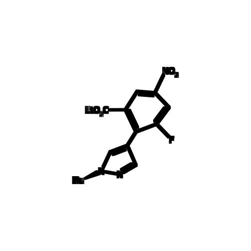 CCOC(=O)c1cc([N+](=O)[O-])cc(F)c1-c1cnn([C@H](C)CC)c1